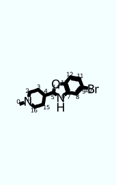 CN1CCC(C2Nc3cc(Br)ccc3O2)CC1